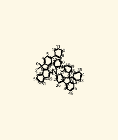 CC1(C)c2ccc(-c3ccccc3)cc2-c2c(N(c3ccccc3)c3ccc4c(c3)C(c3ccccc3)(c3ccccc3)c3ccccc3-4)cc3ccccc3c21